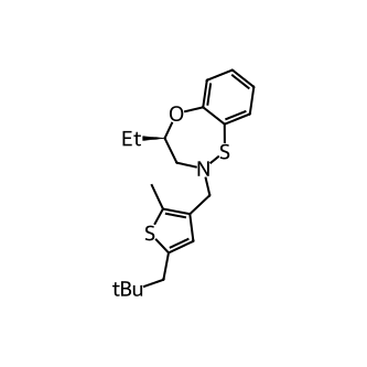 CC[C@@H]1CN(Cc2cc(CC(C)(C)C)sc2C)Sc2ccccc2O1